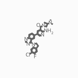 CN(C)C1CN(C(=O)c2cc(-c3ccc4ncnc(N5CCc6cc(F)c(Cl)cc65)c4c3)cnc2N)C1